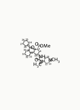 COC(=O)c1cc(NC(=O)N(C)C2CCN(C)CC2)ccc1OC(c1ccccc1)c1ccccc1